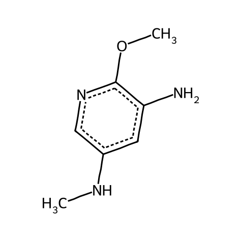 CNc1cnc(OC)c(N)c1